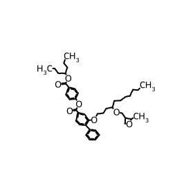 CCCCCCCC(CCCOc1cc(C(=O)Oc2ccc(C(=O)OC(CCC)CCC)cc2)ccc1-c1ccccc1)OCC1COC1C